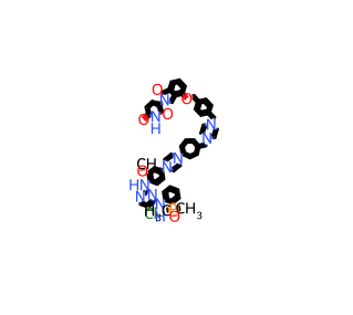 COc1cc(N2CCN(C3CCCC(CN4CCN(Cc5ccc(COc6cccc7c6CN([C@@H]6CCC(=O)NC6=O)C7=O)cc5)CC4)CC3)CC2)ccc1Nc1ncc(Cl)c(Nc2ccccc2P(C)(C)=O)n1